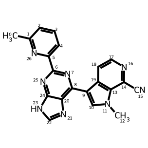 Cc1cccc(-c2nc(-c3cn(C)c4c(C#N)nccc34)c3nc[nH]c3n2)n1